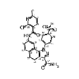 Cc1ccc(C(=O)Nc2ccc3c(c2)-c2c(c(C(N)=O)nn2-c2ccc(S(C)(=O)=O)cc2)CC3)c(Cl)n1